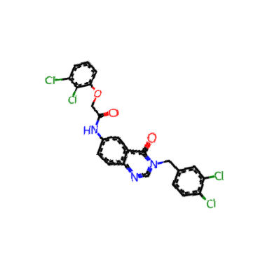 O=C(COc1cccc(Cl)c1Cl)Nc1ccc2ncn(Cc3ccc(Cl)c(Cl)c3)c(=O)c2c1